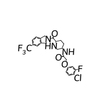 O=C(COc1ccc(Cl)c(F)c1)NC1CCC(C(=O)N2Cc3ccc(C(F)(F)F)cc3C2)NC1